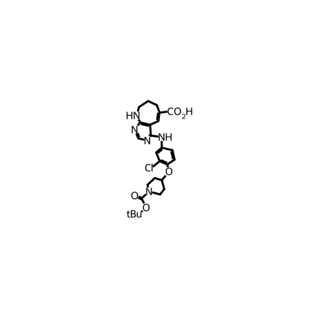 CC(C)(C)OC(=O)N1CCC(Oc2ccc(Nc3ncnc4c3C=C(C(=O)O)CCCN4)cc2Cl)CC1